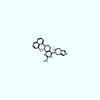 CSc1nc2c(c(N3Cc4cncn4C[C@H]3C)n1)CCN(c1cccc3cccc(Cl)c13)C2